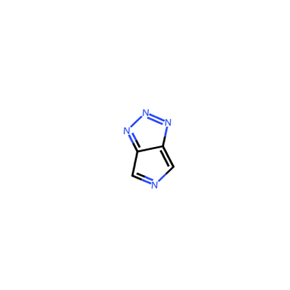 C1=NC=C2N=NN=C12